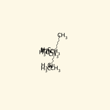 CCCCCCCCCCCCCCCCCC[N+](C)(C)C.C[N+](C)(C)C.[Br-].[Cl-]